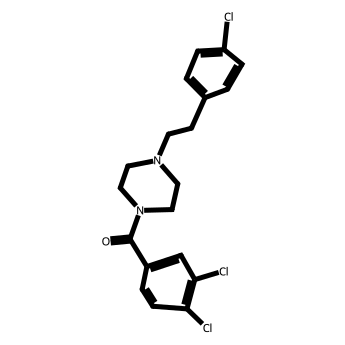 O=C(c1ccc(Cl)c(Cl)c1)N1CCN(CCc2ccc(Cl)cc2)CC1